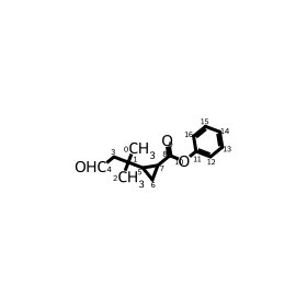 CC(C)(CC=O)C1CC1C(=O)Oc1ccccc1